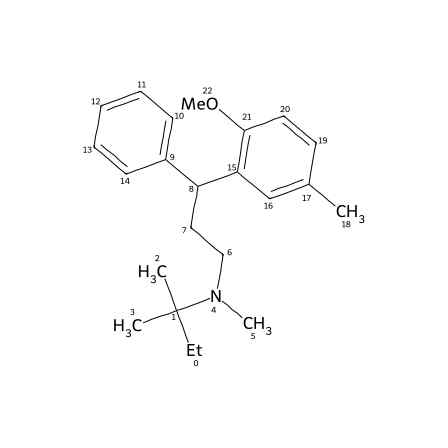 CCC(C)(C)N(C)CCC(c1ccccc1)c1cc(C)ccc1OC